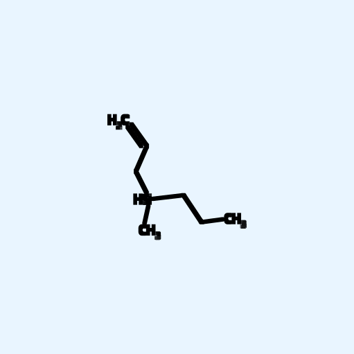 C=CC[SiH](C)CCC